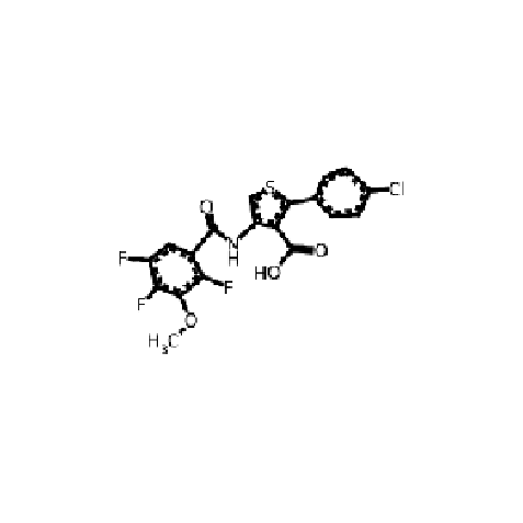 COc1c(F)c(F)cc(C(=O)Nc2csc(-c3ccc(Cl)cc3)c2C(=O)O)c1F